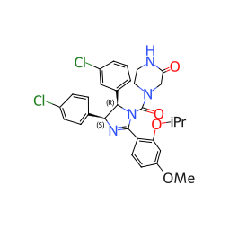 COc1ccc(C2=N[C@@H](c3ccc(Cl)cc3)[C@@H](c3cccc(Cl)c3)N2C(=O)N2CCNC(=O)C2)c(OC(C)C)c1